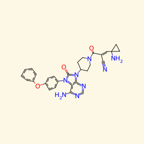 N#CC(=CC1(N)CC1)C(=O)N1CCC(n2c(=O)n(-c3ccc(Oc4ccccc4)cc3)c3c(N)ncnc32)CC1